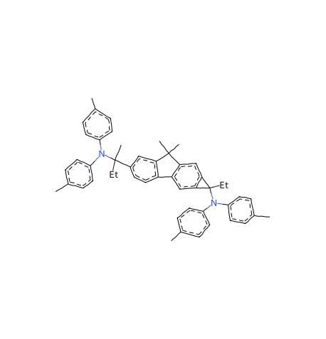 CCC(C)(c1ccc2c(c1)C(C)(C)c1cc3c(cc1-2)C3(CC)N(c1ccc(C)cc1)c1ccc(C)cc1)N(c1ccc(C)cc1)c1ccc(C)cc1